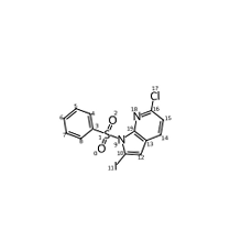 O=S(=O)(c1ccccc1)n1c(I)cc2ccc(Cl)nc21